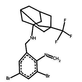 C=Nc1c(Br)cc(Br)cc1CNC12CC3CC(C1)CC(C(F)(F)F)(C3)C2